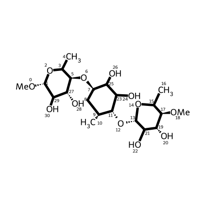 CO[C@@H]1OC(C)[C@@H](O[C@@H]2C[C@@H](C)[C@@H](O[C@@H]3OC(C)[C@@H](OC)[C@H](O)C3O)C(O)C2O)[C@H](O)C1O